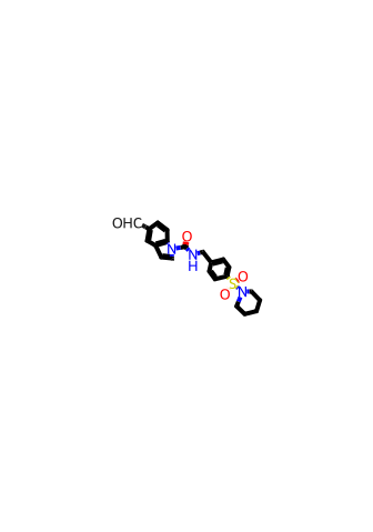 O=Cc1ccc2c(ccn2C(=O)NCc2ccc(S(=O)(=O)N3CCCCC3)cc2)c1